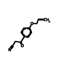 C=CCOc1ccc(C(=O)CC#N)cc1